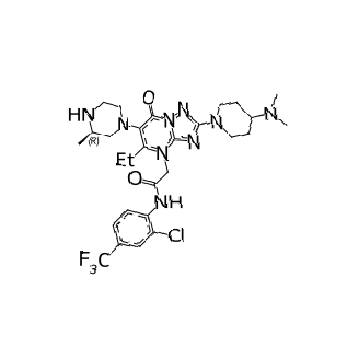 CCc1c(N2CCN[C@H](C)C2)c(=O)n2nc(N3CCC(N(C)C)CC3)nc2n1CC(=O)Nc1ccc(C(F)(F)F)cc1Cl